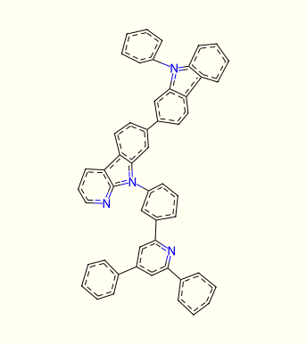 c1ccc(-c2cc(-c3ccccc3)nc(-c3cccc(-n4c5cc(-c6ccc7c8ccccc8n(-c8ccccc8)c7c6)ccc5c5cccnc54)c3)c2)cc1